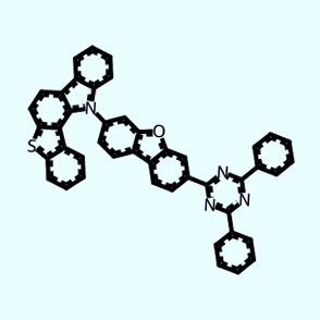 c1ccc(-c2nc(-c3ccccc3)nc(-c3ccc4c(c3)oc3cc(-n5c6ccccc6c6ccc7sc8ccccc8c7c65)ccc34)n2)cc1